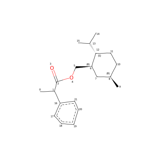 CC(C(=O)OC[C@@H]1C[C@H](C)CC[C@H]1C(C)C)c1ccccc1